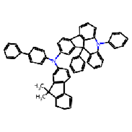 CC1(C)C2=C(C=CCC2)c2ccc(N(c3ccc(-c4ccccc4)cc3)c3ccc4c(c3)C3(c5ccccc5)c5ccccc5N(c5ccccc5)c5cccc-4c53)cc21